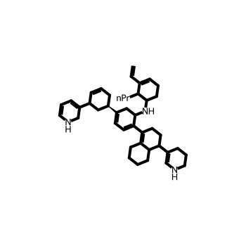 C=CC1=CCCC(NC2CC([C@@H]3CC=CC(C4=CC=CNC4)C3)=CC=C2C2=C3CCCCC3C(C3=CNCCC3)CC2)C1CCC